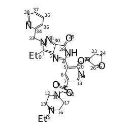 CCc1c2nc(-c3cc(S(=O)(=O)N4CCN(CC)CC4)cnc3O[C@@H]3CCOC3)[nH]c(=O)c2nn1Cc1ccccn1